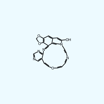 OC1=Cc2cc3c(c4nc5ncncc5ccocccnccn1cc24)OCO3